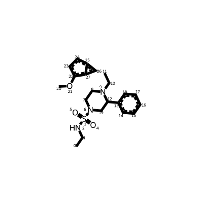 CCNS(=O)(=O)N1CCN(CC)C(c2ccccc2)C1.COc1ccc2cc1-2